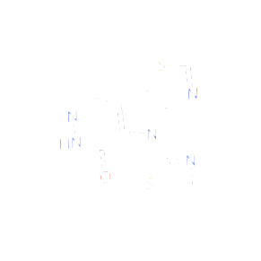 O=c1[nH]ncc2c3scnc3n(-c3nccs3)c12